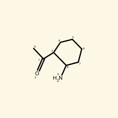 CC(=O)C1CCCCC1N